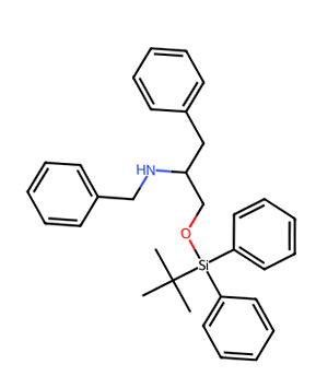 CC(C)(C)[Si](OCC(Cc1ccccc1)NCc1ccccc1)(c1ccccc1)c1ccccc1